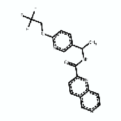 CC(NC(=O)c1ccc2cnccc2n1)c1ccc(OCC(F)(F)F)nc1